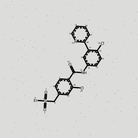 CCS(=O)(=O)Cc1ccc(C(=O)Nc2ccc(Cl)c(-c3ccccn3)c2)c(Cl)c1